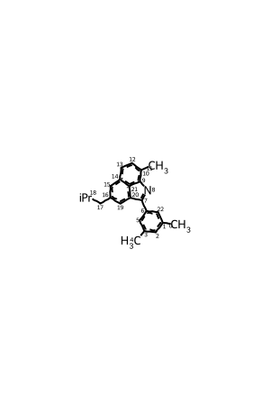 Cc1cc(C)cc(C2=Nc3c(C)ccc4cc(CC(C)C)cc2c34)c1